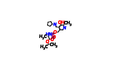 Cc1ncc(CO[PH](=O)N[C@@H](C)C(=O)OC(C)C)c(/C=N/C2CCCC2)c1O